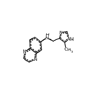 Cc1[nH]cnc1CNc1ccc2nccnc2c1